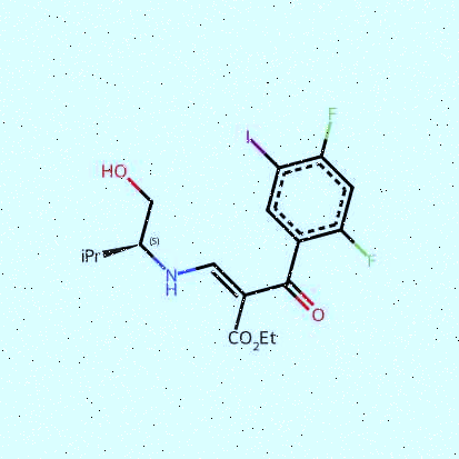 CCOC(=O)C(=CN[C@H](CO)C(C)C)C(=O)c1cc(I)c(F)cc1F